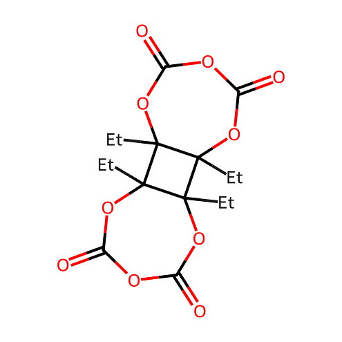 CCC12OC(=O)OC(=O)OC1(CC)C1(CC)OC(=O)OC(=O)OC21CC